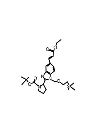 CCOC(=O)C=Cc1ccc2c(c1)nc(C1CCCN1C(=O)OC(C)(C)C)n2COCC[Si](C)(C)C